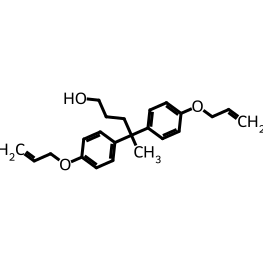 C=CCOc1ccc(C(C)(CCCO)c2ccc(OCC=C)cc2)cc1